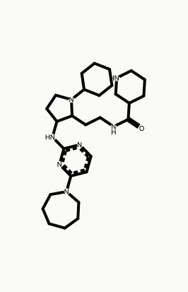 O=C(NCCC1C(Nc2nccc(N3CCCCCC3)n2)CCN1C1CCCCC1)C1CCCNC1